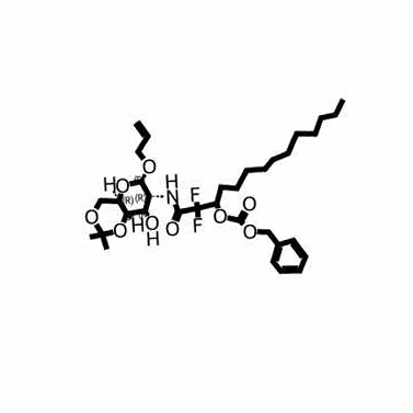 C=CCO[C@@H]1O[C@@H]2COC(C)(C)O[C@H]2[C@H](O)[C@H]1NC(=O)C(F)(F)C(CCCCCCCCCCC)OC(=O)OCc1ccccc1